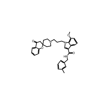 COc1cccc2c(C(=O)NCc3cccc(C)c3)cn(CCCN3CCC4(CC3)CC(=O)c3ccccc3O4)c12